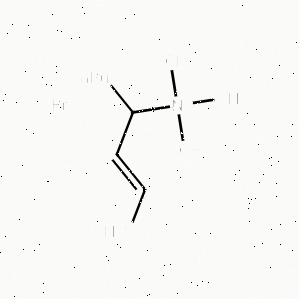 CC=CC(CCCC)[N+](C)(C)C.[Br-]